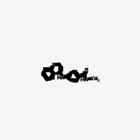 CNC(=O)c1ccc(Nc2ccnc3ccccc23)cc1